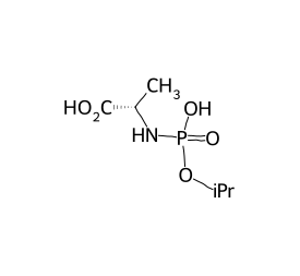 CC(C)OP(=O)(O)N[C@@H](C)C(=O)O